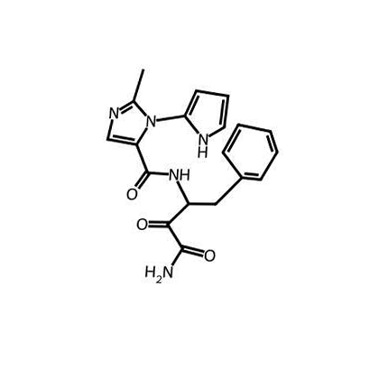 Cc1ncc(C(=O)NC(Cc2ccccc2)C(=O)C(N)=O)n1-c1ccc[nH]1